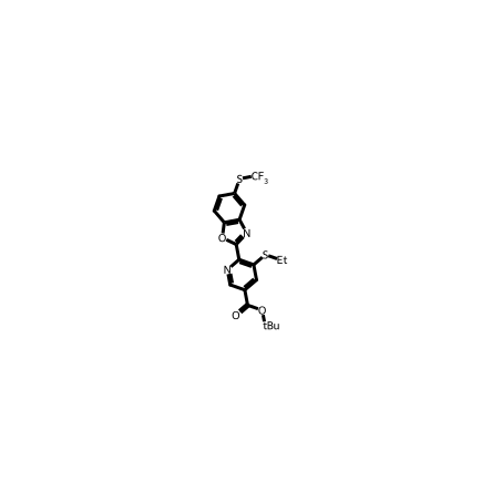 CCSc1cc(C(=O)OC(C)(C)C)cnc1-c1nc2cc(SC(F)(F)F)ccc2o1